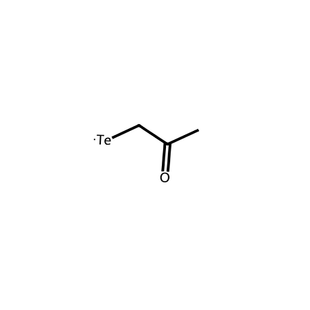 CC(=O)C[Te]